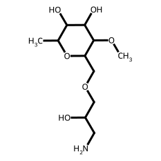 COC1C(COCC(O)CN)OC(C)C(O)C1O